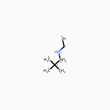 CC(C)CN[SiH2]C(C)(C)C